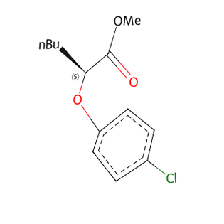 CCCC[C@H](Oc1ccc(Cl)cc1)C(=O)OC